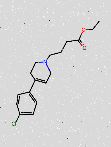 CCOC(=O)CCCN1CC=C(c2ccc(Cl)cc2)CC1